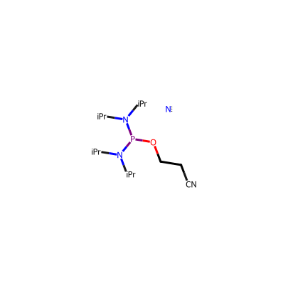 CC(C)N(C(C)C)P(OCCC#N)N(C(C)C)C(C)C.[N]